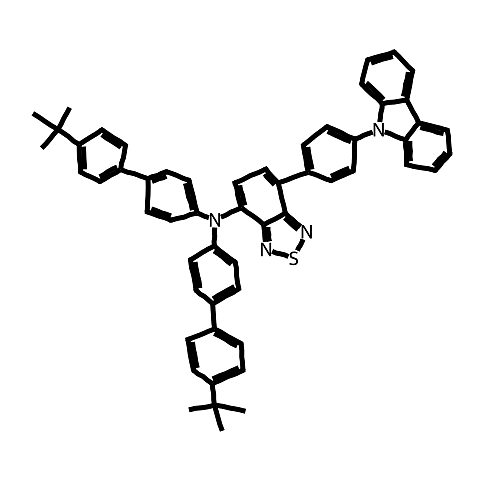 CC(C)(C)c1ccc(-c2ccc(N(c3ccc(-c4ccc(C(C)(C)C)cc4)cc3)c3ccc(-c4ccc(-n5c6ccccc6c6ccccc65)cc4)c4nsnc34)cc2)cc1